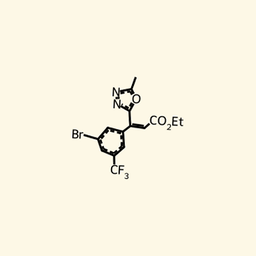 CCOC(=O)/C=C(/c1cc(Br)cc(C(F)(F)F)c1)c1nnc(C)o1